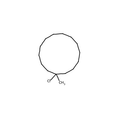 CC1(Cl)CCCCCCCCCCCCC1